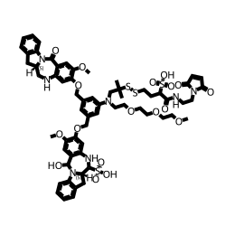 COCCOCCOCCN(CC(C)(C)SSCCC(C(=O)NCCN1C(=O)C=CC1=O)S(=O)(=O)O)c1cc(COc2cc3c(cc2OC)C(=O)N2c4ccccc4C[C@H]2CN3)cc(COc2cc3c(cc2OC)C(O)N2c4ccccc4C[C@H]2C(S(=O)(=O)O)N3)c1